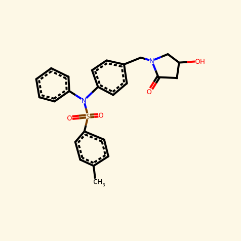 Cc1ccc(S(=O)(=O)N(c2ccccc2)c2ccc(CN3CC(O)CC3=O)cc2)cc1